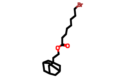 O=C(CCCCCCCBr)OCCC12CC3CC(CC(C3)C1)C2